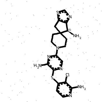 Nc1nc(N2CCC3(CC2)Cc2scnc2[C@H]3N)cnc1Sc1ccnc(N)c1Cl